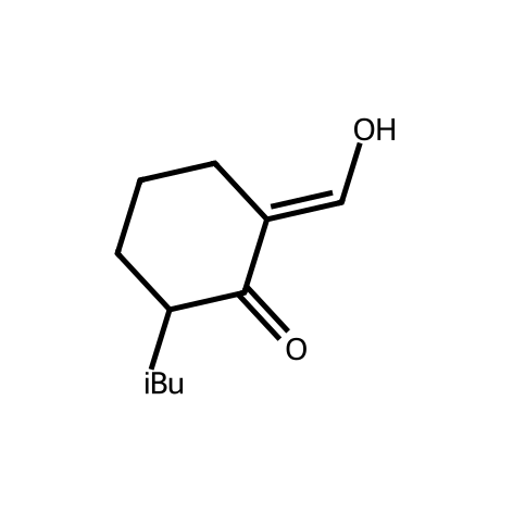 CCC(C)C1CCC/C(=C\O)C1=O